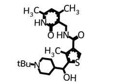 Cc1cc(C)c(CNC(=O)c2csc(C(O)C3CCN(C(C)(C)C)CC3)c2C)c(=O)[nH]1